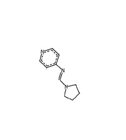 [c]1cnccc1N=CN1CCCC1